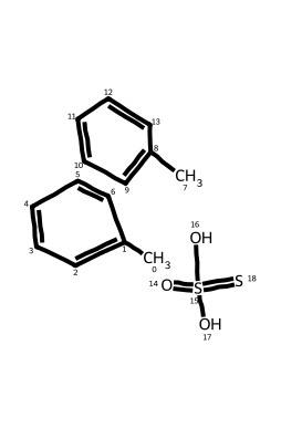 Cc1ccccc1.Cc1ccccc1.O=S(O)(O)=S